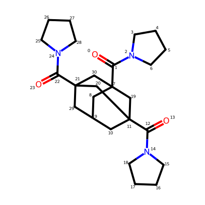 O=C(N1CCCC1)C12CC3CC(C(=O)N4CCCC4)(C1)CC(C(=O)N1CCCC1)(C3)C2